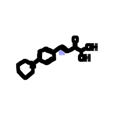 O=C(/C=C/c1ccc(N2CCCCC2)cc1)C(O)O